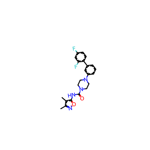 Cc1noc(NC(=O)N2CCN(c3cccc(-c4ccc(F)cc4F)c3)CC2)c1C